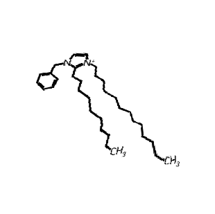 CCCCCCCCCCCCC[n+]1ccn(Cc2ccccc2)c1CCCCCCCCCC